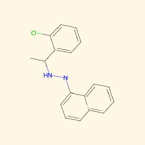 CC(N[N]c1cccc2ccccc12)c1ccccc1Cl